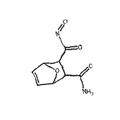 NC(=O)C1C2C=CC(O2)C1C(=O)N=O